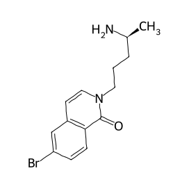 C[C@H](N)CCCn1ccc2cc(Br)ccc2c1=O